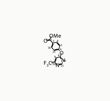 COC(=O)c1ccc(Oc2cc(C(F)(F)F)ncn2)cc1